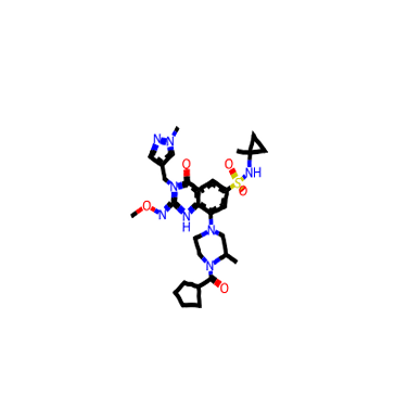 CON=c1[nH]c2c(N3CCN(C(=O)C4CCCC4)C(C)C3)cc(S(=O)(=O)NC3(C)CC3)cc2c(=O)n1Cc1cnn(C)c1